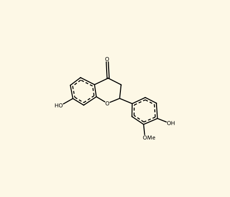 COc1cc(C2CC(=O)c3ccc(O)cc3O2)ccc1O